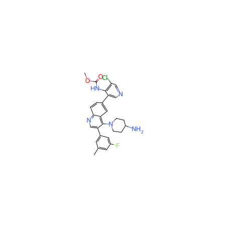 COC(=O)Nc1c(Cl)cncc1-c1ccc2ncc(-c3cc(C)cc(F)c3)c(N3CCC(N)CC3)c2c1